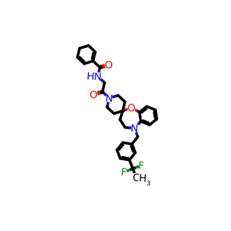 CC(F)(F)c1cccc(CN2CCC3(CCN(C(=O)CNC(=O)C4=CCCC=C4)CC3)Oc3ccccc32)c1